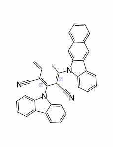 C=C/C(C#N)=C(\C(C#N)=C(/C)n1c2ccccc2c2cc3ccccc3cc21)n1c2ccccc2c2ccccc21